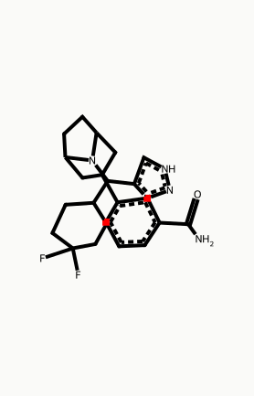 NC(=O)c1cccc(C2CC3CCC(C2)N3C(c2c[nH]nn2)C2CCC(F)(F)CC2)c1